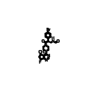 C[C@@H]1C[C@@H](F)c2ncnc(N3CCN(C(=O)[C@H](CNC=O)c4ccc(Br)cc4)CC3)c21